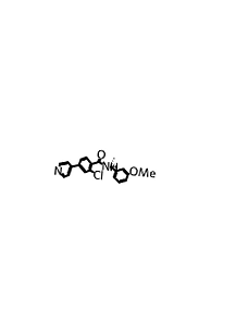 COc1cccc([C@@H](C)NC(=O)c2ccc(-c3ccncc3)cc2Cl)c1